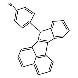 Brc1ccc(-n2c3c(c4ccccc42)-c2cccc4cccc-3c24)cc1